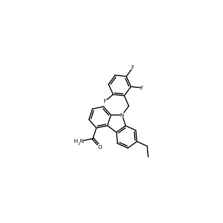 CCc1c[c]c2c3c(C(N)=O)cccc3n(Cc3c(F)ccc(F)c3F)c2c1